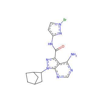 Nc1ncnc2c1c(C(=O)Nc1ccn(Br)n1)nn2C1CC2CCC1C2